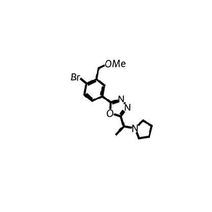 COCc1cc(-c2nnc(C(C)N3CCCC3)o2)ccc1Br